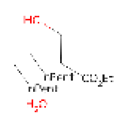 CCCCCC.CCCCCC.CCOC(=O)CCO.O